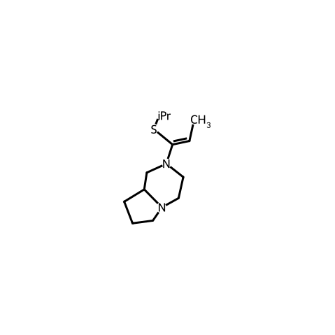 C/C=C(\SC(C)C)N1CCN2CCCC2C1